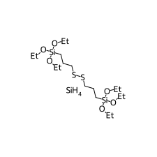 CCO[Si](CCCSSCCC[Si](OCC)(OCC)OCC)(OCC)OCC.[SiH4]